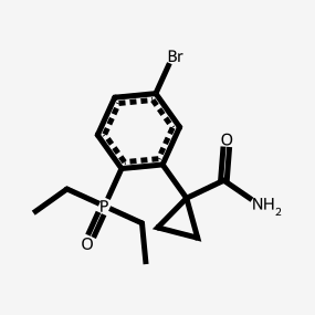 CCP(=O)(CC)c1ccc(Br)cc1C1(C(N)=O)CC1